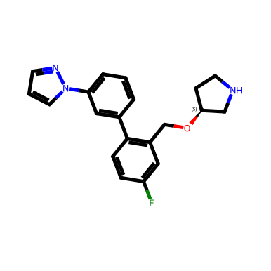 Fc1ccc(-c2cccc(-n3cccn3)c2)c(CO[C@H]2CCNC2)c1